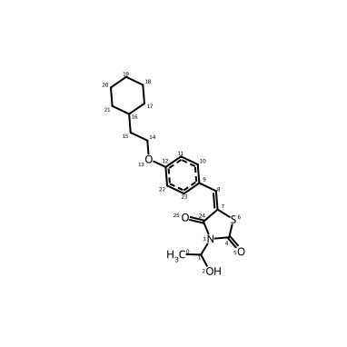 CC(O)N1C(=O)SC(=Cc2ccc(OCCC3CCCCC3)cc2)C1=O